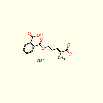 C/C(=C\CCOC(=O)c1ccccc1C(=O)O)C(=O)[O-].[Na+]